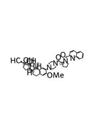 C#C[C@@]1(O)CC[C@H]2[C@@H]3CCc4cc(OC)c(N5CCN(C(=O)[C@@H]6CCCN6C(=O)c6ccc7ccccc7n6)CC5)cc4[C@H]3CC[C@@]21C